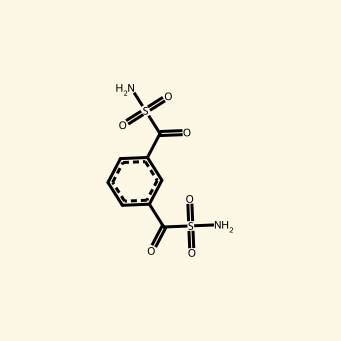 NS(=O)(=O)C(=O)c1cccc(C(=O)S(N)(=O)=O)c1